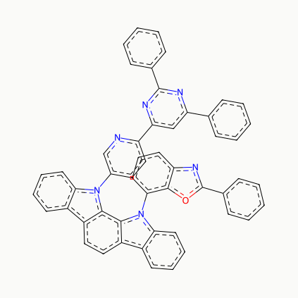 c1ccc(-c2cc(-c3ccc(-n4c5ccccc5c5ccc6c7ccccc7n(-c7cccc8nc(-c9ccccc9)oc78)c6c54)cn3)nc(-c3ccccc3)n2)cc1